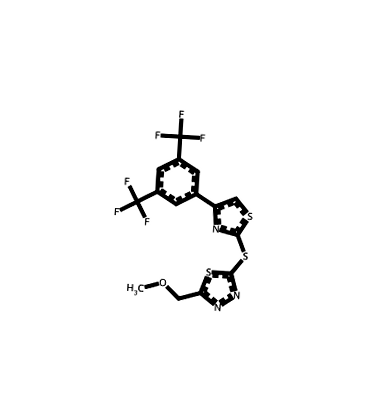 COCc1nnc(Sc2nc(-c3cc(C(F)(F)F)cc(C(F)(F)F)c3)cs2)s1